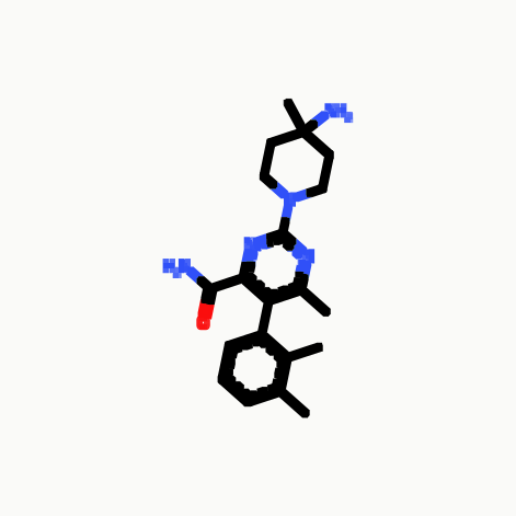 Cc1cccc(-c2c(C)nc(N3CCC(C)(N)CC3)nc2C(N)=O)c1C